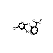 COC(=O)c1ccccc1Oc1ncc(Cl)cc1N